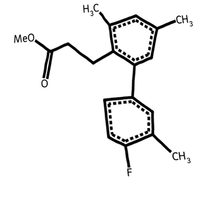 COC(=O)CCc1c(C)cc(C)cc1-c1ccc(F)c(C)c1